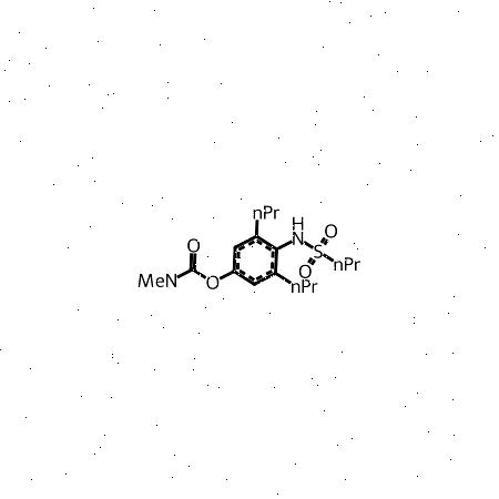 CCCc1cc(OC(=O)NC)cc(CCC)c1NS(=O)(=O)CCC